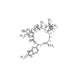 C/C1=C\CC(c2ccc3sc(C)nc3c2)OC(=O)CC(O[Si](C)(C)C(C)(C)C)C(C)(C)C(=O)C(C)C(O[Si](C)(C)C(C)(C)C)C(C)CCC1